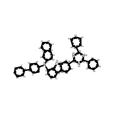 c1ccc(-c2ccc(N(c3ccc4ccccc4c3)c3cccc4c3oc3cc(-c5nc(-c6ccccc6)nc(-c6ccccc6)n5)ccc34)cc2)cc1